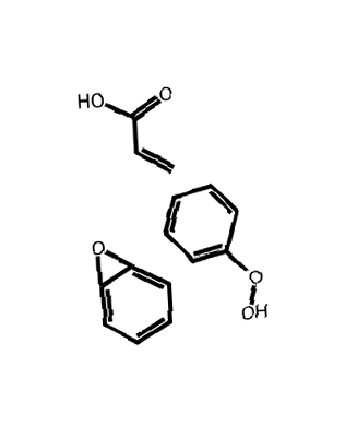 C=CC(=O)O.OOc1ccccc1.c1ccc2c(c1)O2